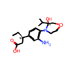 CC[C@H](CC(=O)O)c1ccc(N2CCOC[C@@]2(O)C(C)C)c(N)c1